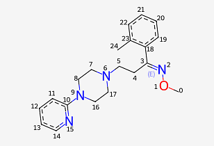 CO/N=C(\CCN1CCN(c2ccccn2)CC1)c1ccccc1C